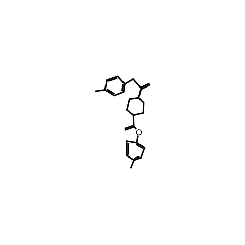 C=C(Cc1ccc(C)cc1)C1CCC(C(=C)Oc2ccc(C)cc2)CC1